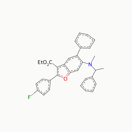 CCOC(=O)c1c(-c2ccc(F)cc2)oc2cc(N(C)C(C)c3ccccc3)c(-c3ccccc3)cc12